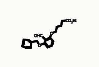 CCOC(=O)CCCCOc1cccc(OCc2ccccc2)c1C=O